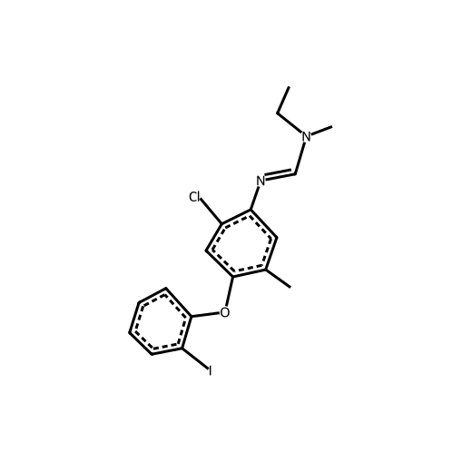 CCN(C)C=Nc1cc(C)c(Oc2ccccc2I)cc1Cl